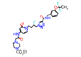 CCOC(=O)N1CCN(CC(=O)Nc2ccn(CCC(F)Cn3cc(C(=O)NCc4cccc(OC(C)(F)F)c4)nn3)c(=O)c2)CC1